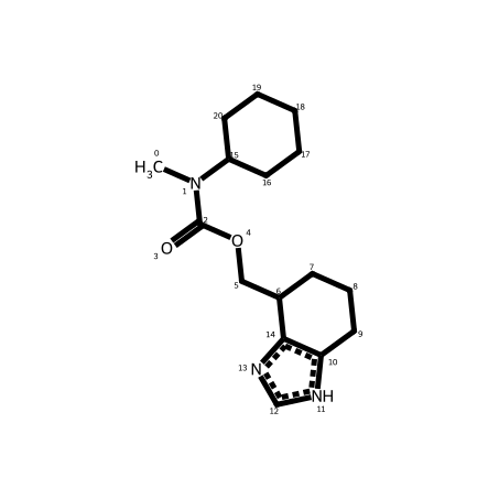 CN(C(=O)OCC1CCCc2[nH]cnc21)C1CCCCC1